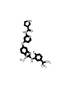 CC(C)c1ccc(F)c(Nc2nc3cc(Oc4ccnc(NC(=O)C5CCNC5)c4)ccc3n2C)c1